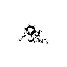 CCOCC.C[n+]1ccccc1.[I-].[MgH2]